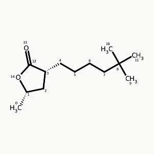 C[C@H]1C[C@@H](CCCCC(C)(C)C)C(=O)O1